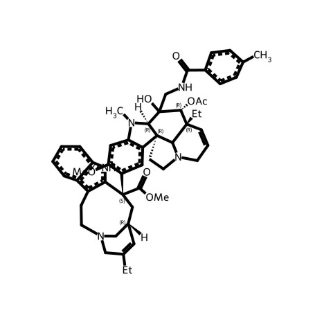 CCC1=C[C@@H]2CN(CCc3c([nH]c4ccccc34)[C@@](C(=O)OC)(c3cc4c(cc3OC)N(C)[C@H]3C(O)(CNC(=O)c5ccc(C)cc5)[C@H](OC(C)=O)[C@]5(CC)C=CCN6CC[C@]43C65)C2)C1